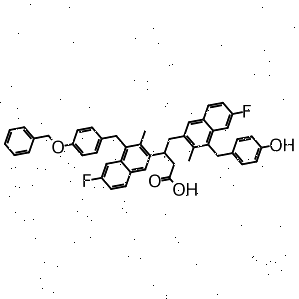 Cc1c(C[C](CC(=O)O)c2cc3ccc(F)cc3c(Cc3ccc(OCc4ccccc4)cc3)c2C)cc2ccc(F)cc2c1Cc1ccc(O)cc1